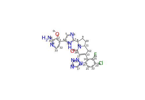 COc1c(-c2cnc(C3CCC4CC(c5c(-n6cnnn6)ccc(Cl)c5F)=CC(=O)N43)[nH]2)ccnc1N